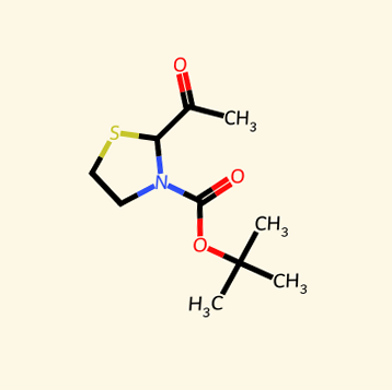 CC(=O)C1SCCN1C(=O)OC(C)(C)C